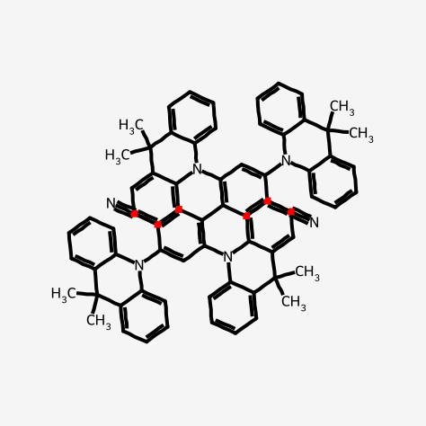 CC1(C)c2ccccc2N(c2cc(N3c4ccccc4C(C)(C)c4ccccc43)c(-c3cc(C#N)c(N4c5ccccc5C(C)(C)c5ccccc54)cc3N3c4ccccc4C(C)(C)c4ccccc43)cc2C#N)c2ccccc21